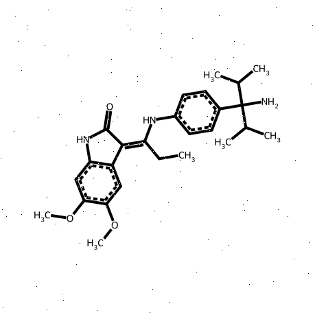 CC/C(Nc1ccc(C(N)(C(C)C)C(C)C)cc1)=C1/C(=O)Nc2cc(OC)c(OC)cc21